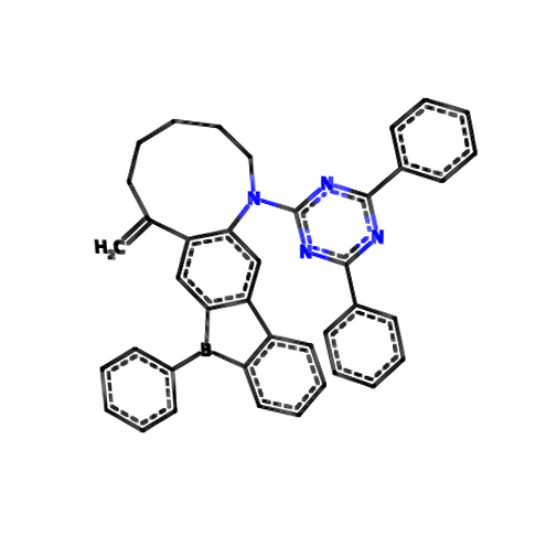 C=C1CCCCCN(c2nc(-c3ccccc3)nc(-c3ccccc3)n2)c2cc3c(cc21)B(c1ccccc1)c1ccccc1-3